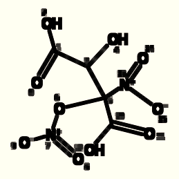 O=C(O)C(O)C(O[N+](=O)[O-])(C(=O)O)[N+](=O)[O-]